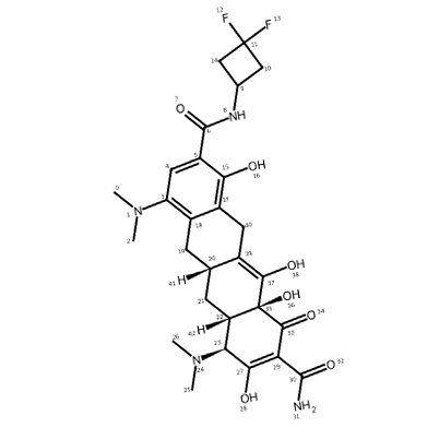 CN(C)c1cc(C(=O)NC2CC(F)(F)C2)c(O)c2c1C[C@H]1C[C@H]3[C@H](N(C)C)C(O)=C(C(N)=O)C(=O)[C@@]3(O)C(O)=C1C2